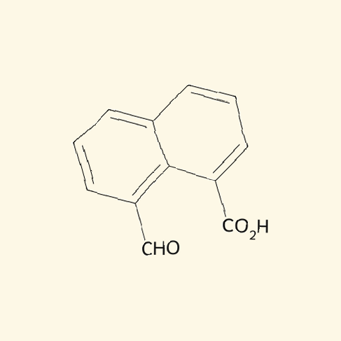 O=Cc1cccc2cccc(C(=O)O)c12